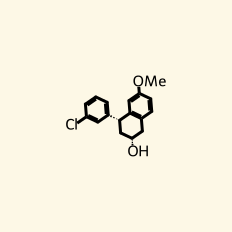 COc1ccc2c(c1)[C@@H](c1cccc(Cl)c1)C[C@@H](O)C2